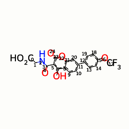 O=C(O)CNC(=O)c1c(O)c2ccc(-c3ccc(OC(F)(F)F)cc3)cc2oc1=O